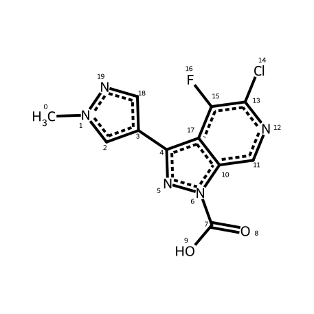 Cn1cc(-c2nn(C(=O)O)c3cnc(Cl)c(F)c23)cn1